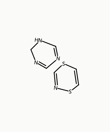 C1=CSN=CS1.C1=NC=NCN1